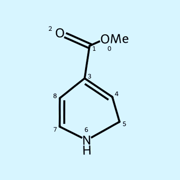 COC(=O)C1=CCNC=C1